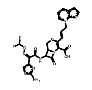 Nc1nc(/C(=N/OC(F)F)C(=O)NC2C(=O)N3C(C(=O)O)=C(/C=C/C[n+]4cccc5ccsc54)SCC23)cs1